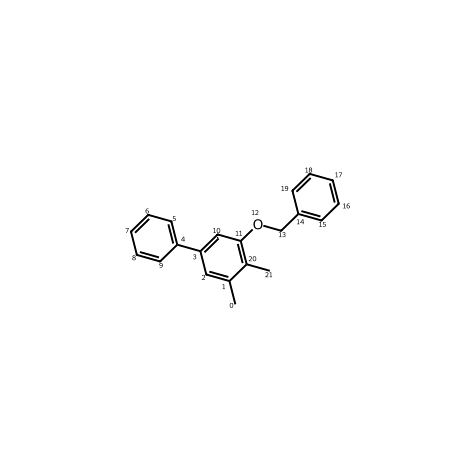 Cc1cc(-c2ccccc2)[c]c(OCc2ccccc2)c1C